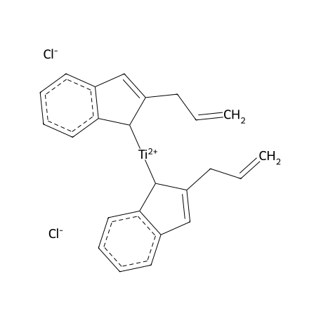 C=CCC1=Cc2ccccc2[CH]1[Ti+2][CH]1C(CC=C)=Cc2ccccc21.[Cl-].[Cl-]